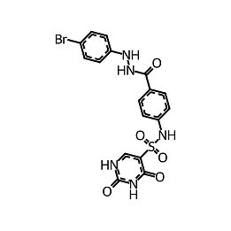 O=C(NNc1ccc(Br)cc1)c1ccc(NS(=O)(=O)c2c[nH]c(=O)[nH]c2=O)cc1